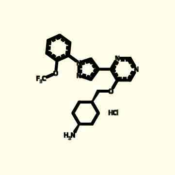 Cl.N[C@H]1CC[C@@H](COc2cncnc2-c2cnn(-c3ccccc3OC(F)(F)F)c2)CC1